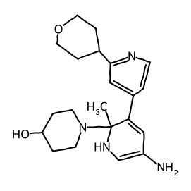 CC1(N2CCC(O)CC2)NC=C(N)C=C1c1ccnc(C2CCOCC2)c1